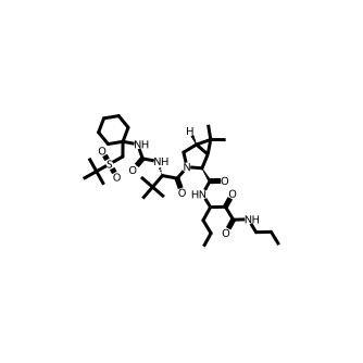 CCCNC(=O)C(=O)C(CCC)NC(=O)[C@@H]1C2[C@H](CN1C(=O)[C@@H](NC(=O)NC1(CS(=O)(=O)C(C)(C)C)CCCCC1)C(C)(C)C)C2(C)C